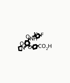 O=C(O)c1ccc(Oc2cc(C(=O)NCc3ccc(F)cn3)ccc2CN2CCCC2=O)cc1